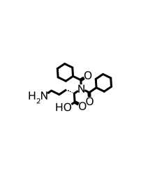 NCCC[C@@H](C(=O)O)N(C(=O)C1CCCCC1)C(=O)C1CCCCC1